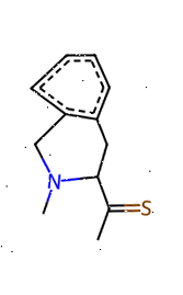 CC(=S)C1Cc2ccccc2CN1C